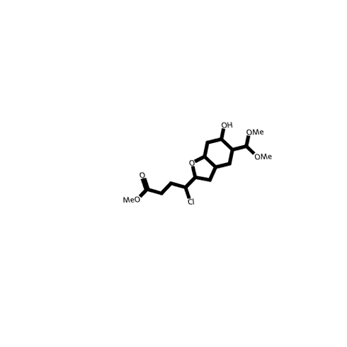 COC(=O)CCC(Cl)C1CC2CC(C(OC)OC)C(O)CC2O1